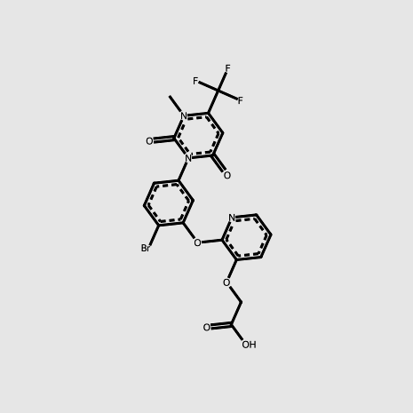 Cn1c(C(F)(F)F)cc(=O)n(-c2ccc(Br)c(Oc3ncccc3OCC(=O)O)c2)c1=O